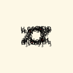 CC(C)CC1C(=O)OC(Cc2ccc(N3CCOCC3)cc2)C(=O)N(C)C(CC(C)C)C(=O)OC(C)C(=O)N(C)C(CC(C)C)C(=O)OC(Cc2ccc(N3CCOCC3)cc2)C(=O)N(C)C(CC(C)C)C(=O)OC(C)C(=O)N1C